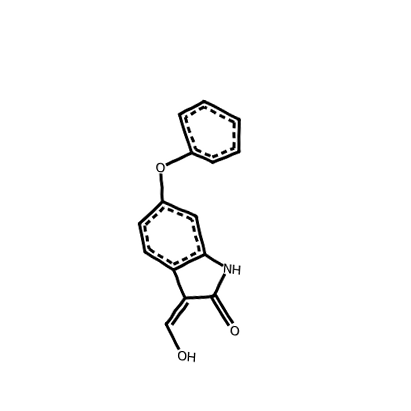 O=C1Nc2cc(Oc3ccccc3)ccc2/C1=C/O